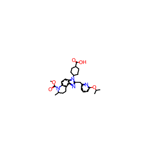 COC(=O)N1c2ccc3c(nc(Cc4cccc(OC(C)C)n4)n3C3CCC(C(=O)O)CC3)c2CCC1C